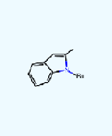 CCC(C)n1c(C)cc2ccccc21